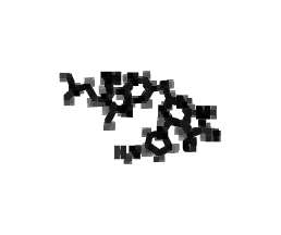 CCc1[nH]c2nc(Sc3cnc4c(=N)n(CCN(C)C)c(C)nc4c3)nc(N3CC[C@H](N)C3)c2c1Cl